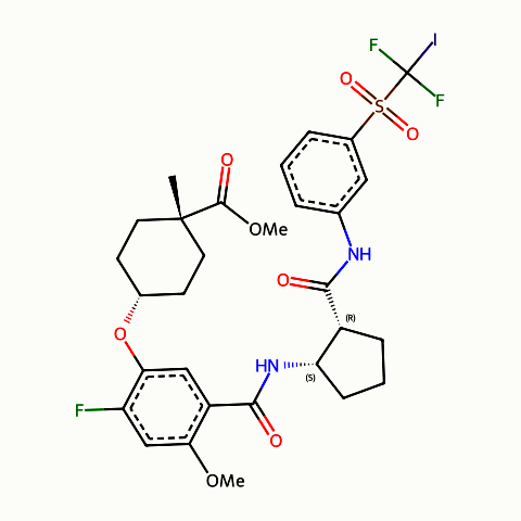 COc1cc(F)c(O[C@H]2CC[C@@](C)(C(=O)OC)CC2)cc1C(=O)N[C@H]1CCC[C@H]1C(=O)Nc1cccc(S(=O)(=O)C(F)(F)I)c1